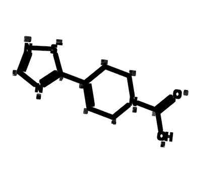 O=C(O)N1CC=C(c2ncns2)CC1